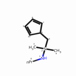 CCCN[Si](C)(C)CC1C=CC=C1